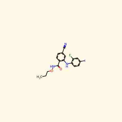 CCCONC(=O)c1ccc(C#N)cc1Nc1ccc(I)cc1F